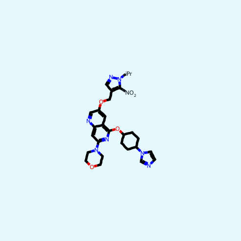 CC(C)n1ncc(COc2cnc3cc(N4CCOCC4)nc(OC4CCC(n5ccnc5)CC4)c3c2)c1[N+](=O)[O-]